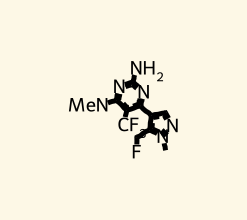 CNc1nc(N)nc(-c2cnn(C)c2CF)c1C(F)(F)F